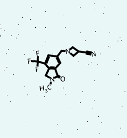 CN1Cc2c(cc(CN3CC(C#N)C3)cc2C(F)(F)F)C1=O